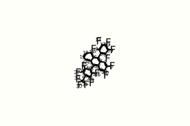 Fc1cc2c(-c3c(F)c(F)c(F)c(F)c3F)c3ccccc3c(-c3c(F)c(F)c(C(F)(F)F)c(F)c3F)c2cc1F